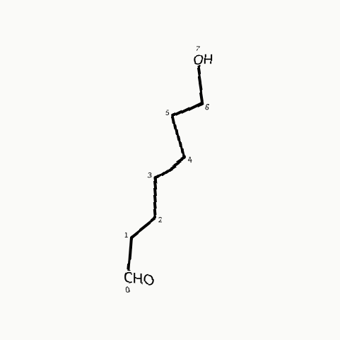 O=CCCCCCCO